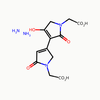 N.N.O=C(O)CN1CC(C2=C(O)CN(CC(=O)O)C2=O)=CC1=O